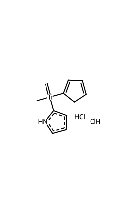 Cl.Cl.[CH2]=[Ti]([CH3])([C]1=CC=CC1)[c]1ccc[nH]1